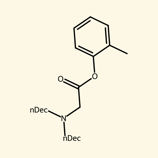 CCCCCCCCCCN(CCCCCCCCCC)CC(=O)Oc1ccccc1C